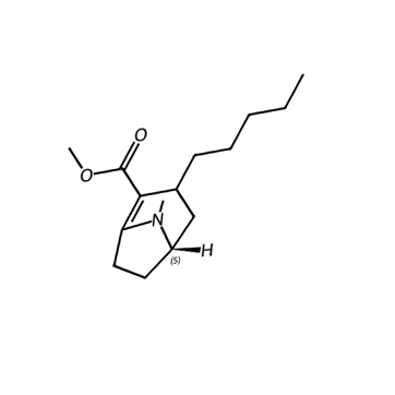 CCCCCC1C[C@@H]2CCC(=C1C(=O)OC)N2C